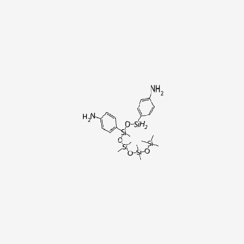 C[Si](C)(C)O[Si](C)(C)O[Si](C)(C)O[Si](C)(O[SiH2]c1ccc(N)cc1)c1ccc(N)cc1